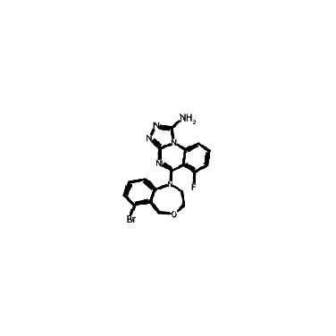 Nc1nnc2nc(N3CCOCc4c(Br)cccc43)c3c(F)cccc3n12